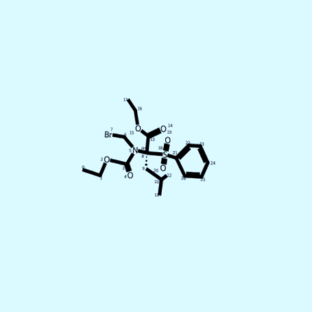 CCOC(=O)N(CBr)[C@@](CC(C)C)(C(=O)OCC)S(=O)(=O)c1ccccc1